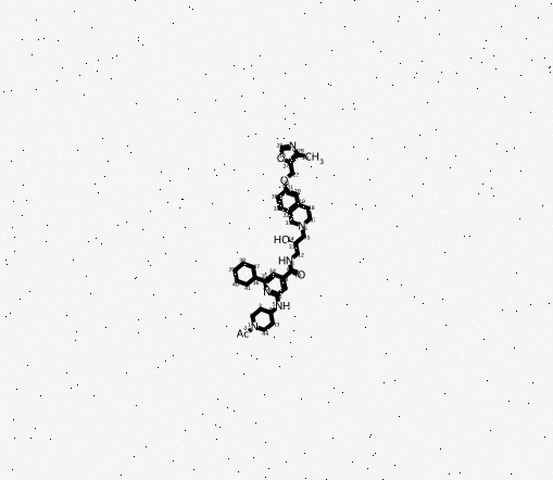 CC(=O)N1CCC(Nc2cc(C(=O)NC[C@H](O)CN3CCc4cc(OCc5ocnc5C)ccc4C3)cc(C3CCCCC3)n2)CC1